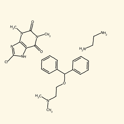 CN(C)CCOC(c1ccccc1)c1ccccc1.Cn1c(=O)c2[nH]c(Cl)nc2n(C)c1=O.NCCN